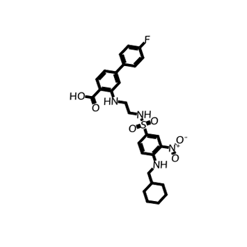 O=C(O)c1ccc(-c2ccc(F)cc2)cc1NCCNS(=O)(=O)c1ccc(NCC2CCCCC2)c([N+](=O)[O-])c1